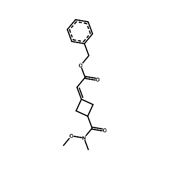 CON(C)C(=O)C1CC(=CC(=O)OCc2ccccc2)C1